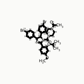 COc1ccc(C2=NC(c3ccc(Br)cc3)C(c3ccc(Br)cc3)N2C(=O)N2CCN(C(C)=O)CC2)c(OC(C)C)c1